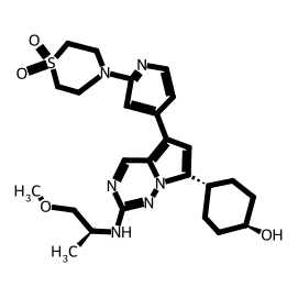 COC[C@H](C)Nc1ncc2c(-c3ccnc(N4CCS(=O)(=O)CC4)c3)cc([C@H]3CC[C@H](O)CC3)n2n1